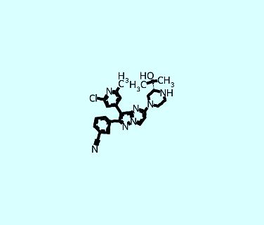 Cc1cc(-c2c(-c3cccc(C#N)c3)nn3ccc(N4CCN[C@@H](C(C)(C)O)C4)nc23)cc(Cl)n1